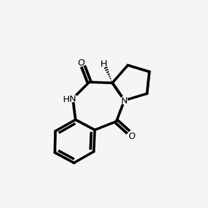 O=C1Nc2ccccc2C(=O)N2CCC[C@H]12